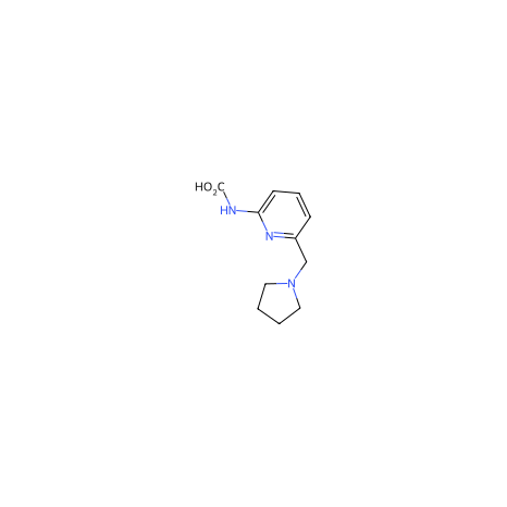 O=C(O)Nc1cccc(CN2CCCC2)n1